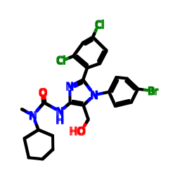 CN(C(=O)Nc1nc(-c2ccc(Cl)cc2Cl)n(-c2ccc(Br)cc2)c1CO)C1CCCCC1